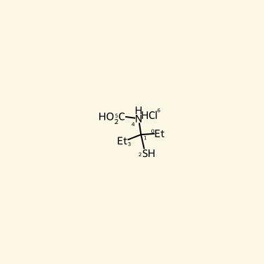 CCC(S)(CC)NC(=O)O.Cl